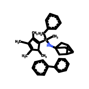 CC1=C(C)C(C)[C]([Zr]([CH3])([NH]C23CC4C(C2)C4C3)[SiH2]c2ccccc2)=C1C.c1ccc(-c2ccccc2)cc1